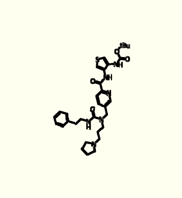 CC(C)(C)OC(=O)Nc1cscc1NC(=O)c1ccc(CN(CCCN2CCCC2)C(=O)NCCc2ccccc2)cn1